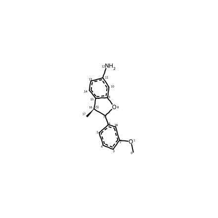 COc1cccc(C2Oc3cc(N)ccc3[C@@H]2C)c1